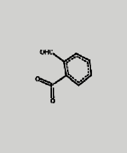 O=Cc1ccccc1P(=O)=O